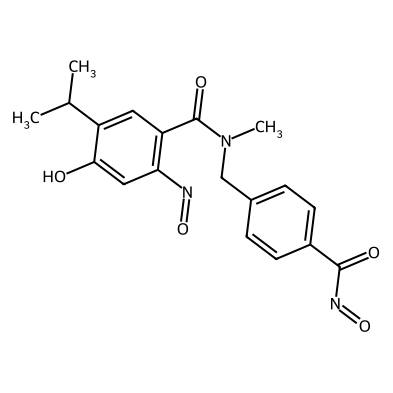 CC(C)c1cc(C(=O)N(C)Cc2ccc(C(=O)N=O)cc2)c(N=O)cc1O